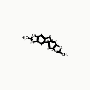 Cc1nc2cc3c(cc2o1)Cc1cc2oc(C)nc2cc1-3